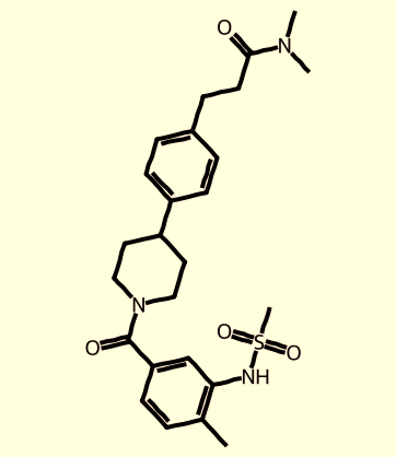 Cc1ccc(C(=O)N2CCC(c3ccc(CCC(=O)N(C)C)cc3)CC2)cc1NS(C)(=O)=O